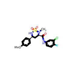 COc1ccc([C@@H]2C[C@H](C(=O)Nc3ccc(F)c(Cl)c3)N(C)S(=O)(=O)N2)cc1